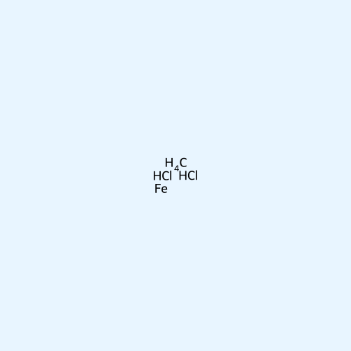 C.Cl.Cl.[Fe]